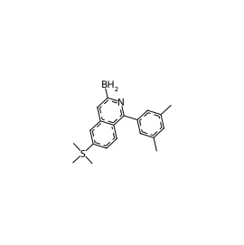 Bc1cc2cc(S(C)(C)C)ccc2c(-c2cc(C)cc(C)c2)n1